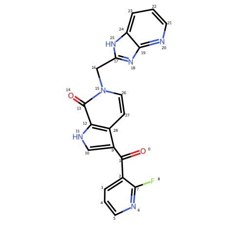 O=C(c1cccnc1F)c1c[nH]c2c(=O)n(Cc3nc4ncccc4[nH]3)ccc12